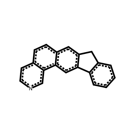 c1ccc2c(c1)Cc1cc3ccc4ccncc4c3cc1-2